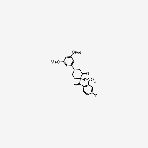 CCC1(C(=O)c2ccc(F)cc2[N+](=O)[O-])CCC(c2cc(OC)cc(OC)c2)CC1=O